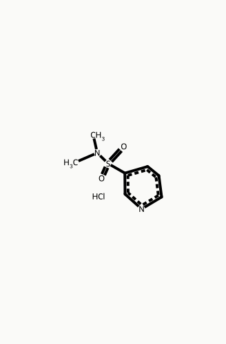 CN(C)S(=O)(=O)c1cccnc1.Cl